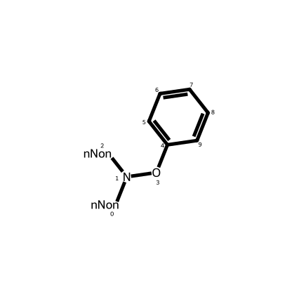 CCCCCCCCCN(CCCCCCCCC)Oc1ccccc1